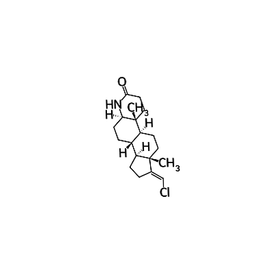 C[C@]12CCC(=O)N[C@@H]1CC[C@@H]1[C@@H]2CC[C@]2(C)/C(=C/Cl)CC[C@@H]12